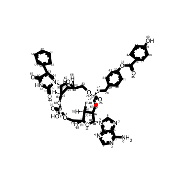 Nc1ncnc2c1ncn2[C@@H]1O[C@@H]2COP(=O)(O)O[C@@H]3[C@H](F)[C@@H](CO[P@@](=O)(SCc4ccc(OC(=O)c5ccc(O)cc5)cc4)O[C@@H]1[C@@H]2F)O[C@H]3n1cc(-c2ccccc2)c(=O)[nH]c1=O